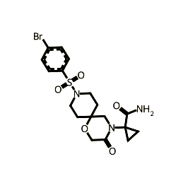 NC(=O)C1(N2CC3(CCN(S(=O)(=O)c4ccc(Br)cc4)CC3)OCC2=O)CC1